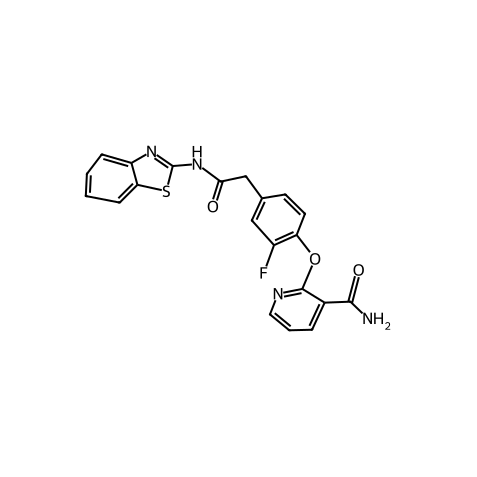 NC(=O)c1cccnc1Oc1ccc(CC(=O)Nc2nc3ccccc3s2)cc1F